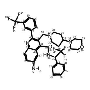 Nc1ccc2nc(-c3cccc(C(F)(F)F)c3)c(CN3CCC(N4CCOCC4)CC3)c(C(=O)N[C@H](c3ccccc3)C(F)(F)F)c2c1